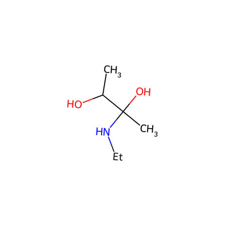 CCNC(C)(O)C(C)O